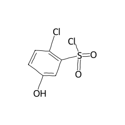 O=S(=O)(Cl)c1cc(O)ccc1Cl